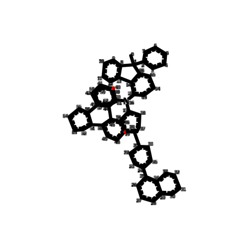 CC1(c2ccccc2)c2ccccc2-c2c(N(c3ccc(-c4ccc(-c5cccc6ccccc56)cc4)cc3)c3ccccc3-c3ccccc3-c3ccccc3-c3ccccc3)cccc21